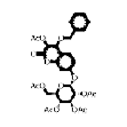 CC(=O)OC[C@H]1O[C@@H](Oc2ccc3c(OCc4ccccc4)c(OC(C)=O)c(=O)oc3c2)[C@H](OC(C)=O)[C@@H](OC(C)=O)[C@@H]1OC(C)=O